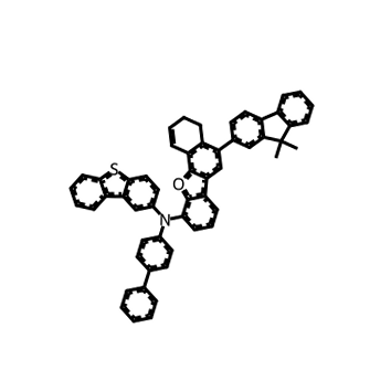 CC1(C)c2ccccc2-c2ccc(-c3cc4c(oc5c(N(c6ccc(-c7ccccc7)cc6)c6ccc7sc8ccccc8c7c6)cccc54)c4c3CCC=C4)cc21